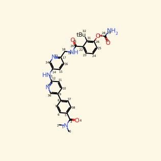 CN(C)C(=O)c1ccc(-c2ccc(Nc3ccc(CNC(=O)c4cccc(OC(N)=O)c4C(C)(C)C)nc3)nc2)cc1